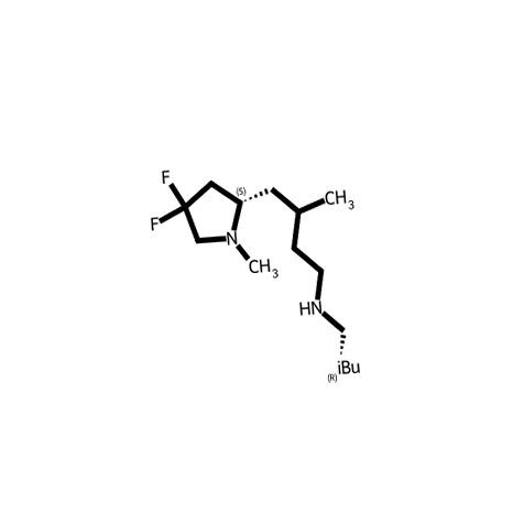 CC[C@@H](C)CNCCC(C)C[C@H]1CC(F)(F)CN1C